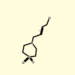 [O]C/C=C/CN1CCS(=O)(=O)CC1